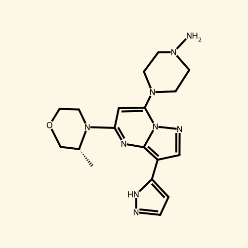 C[C@@H]1COCCN1c1cc(N2CCN(N)CC2)n2ncc(-c3ccn[nH]3)c2n1